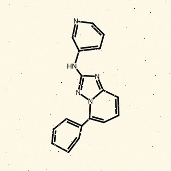 c1ccc(-c2cccc3nc(Nc4cccnc4)nn23)cc1